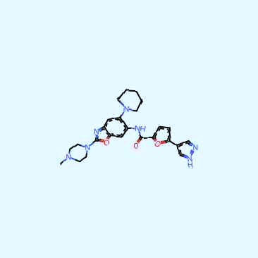 CN1CCN(c2nc3cc(N4CCCCC4)c(NC(=O)c4ccc(-c5cn[nH]c5)o4)cc3o2)CC1